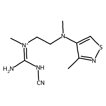 Cc1nscc1N(C)CC[N+](C)=C(N)NC#N